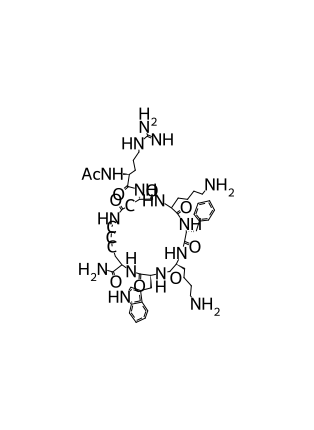 CC(=O)N[C@@H](CCCNC(=N)N)C(=O)N[C@H]1CC(=O)NCCCCC(C(N)=O)NC(=O)[C@H](Cc2c[nH]c3ccccc23)NC(=O)[C@H](CCCCN)NC(=O)[C@@H](Cc2ccccc2)NC(=O)C(CCCCN)NC1=O